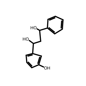 Oc1cccc(C(O)CC(O)c2ccccc2)c1